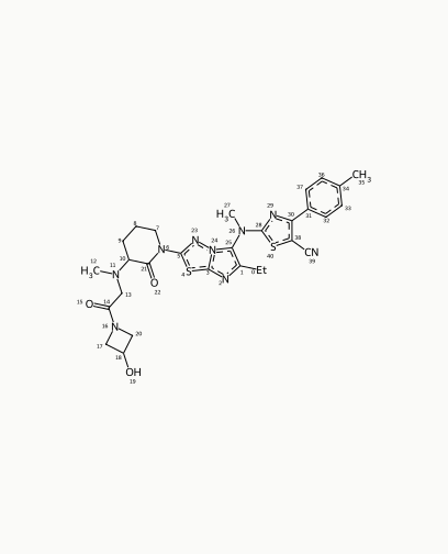 CCc1nc2sc(N3CCCC(N(C)CC(=O)N4CC(O)C4)C3=O)nn2c1N(C)c1nc(-c2ccc(C)cc2)c(C#N)s1